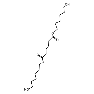 O=C(CCCCC(=O)OCCCCCCO)OCCCCCCO